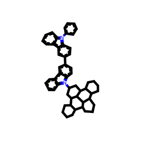 c1ccc(-n2c3ccccc3c3cc(-c4ccc5c(c4)c4ccccc4n5C4CC5C6CCCCC6C6CCCC7C8CCCCC8C(C4)C5C67)ccc32)cc1